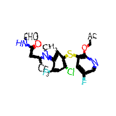 CC(=O)COc1ncc(F)cc1Sc1cc(N(C)/C(=C\C(=O)NC=O)C(F)(F)F)c(F)cc1Cl